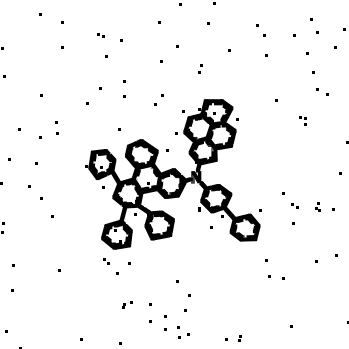 c1ccc(-c2ccc(N(c3cc4ccc5cccc6ccc(c3)c4c56)c3ccc4c(c3)c3ccccc3c3c(-c5ccccc5)cc(-c5ccccc5)c(-c5ccccc5)c43)cc2)cc1